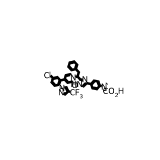 CN(C(=O)O)c1ccc(-c2c[nH]c(C(Cc3ccccc3)n3ccc(-c4cc(Cl)ccc4-n4cc(C(F)(F)F)cn4)cc3=O)n2)cc1